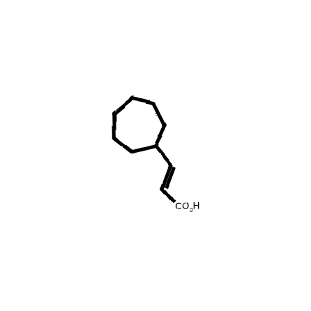 O=C(O)/C=C/C1CCCCCC1